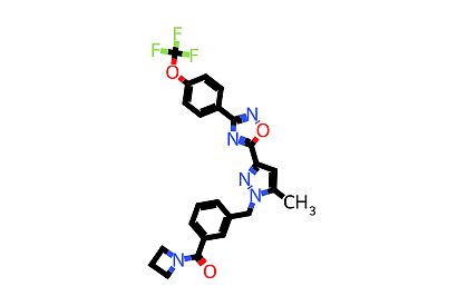 Cc1cc(-c2nc(-c3ccc(OC(F)(F)F)cc3)no2)nn1Cc1cccc(C(=O)N2CCC2)c1